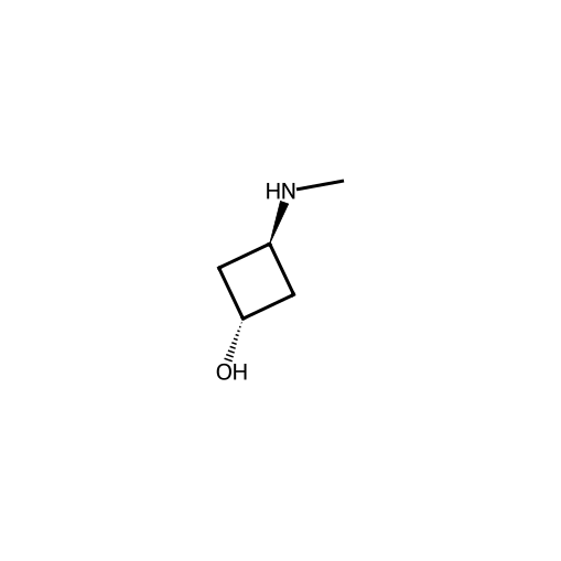 CN[C@H]1C[C@H](O)C1